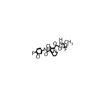 C[C@H](NC(=O)C(=O)c1c(Cl)c(C(=O)Nc2ccc(F)c(Cl)c2)c2n1CCC2)C(F)(F)F